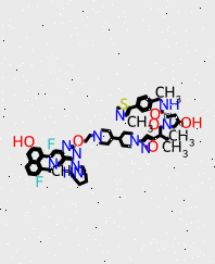 C#Cc1c(F)ccc2cc(O)cc(-c3ncc4c(N5CC6CCC(C5)N6)nc(OCCN5CCC(C6CCN(c7cc(C(C(=O)N8C[C@H](O)C[C@H]8C(=O)NC(C)c8ccc(-c9scnc9C)cc8)C(C)C)on7)CC6)CC5)nc4c3F)c12